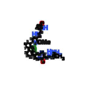 COc1nc(-c2cccc(-c3cccc(-c4ccn5c(=O)c(CNCC(C)N)cnc5c4)c3Cl)c2Cl)ccc1CNCC1CCC(=O)N1